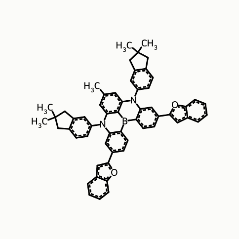 Cc1cc2c3c(c1)N(c1ccc4c(c1)CC(C)(C)C4)c1cc(-c4cc5ccccc5o4)ccc1B3c1ccc(-c3cc4ccccc4o3)cc1N2c1ccc2c(c1)CC(C)(C)C2